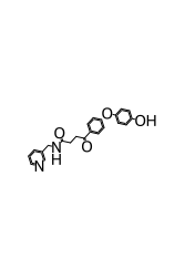 O=C(CCC(=O)c1ccc(Oc2ccc(O)cc2)cc1)NCc1cccnc1